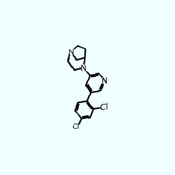 Clc1ccc(-c2cncc(N3CCN4CCC3C4)c2)c(Cl)c1